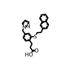 O=C(O)CCc1ccc(Cn2cccn2)cc1SCCc1ccc2ccccc2c1